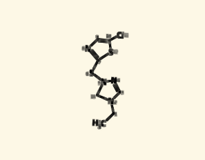 CCN1C=NN(Sc2ncc(Cl)s2)C1